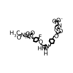 CC(=O)NC[C@H]1CN(c2ccc(OCC3=CN(Cc4ccc(CO[C@@H]5COc6nc([N+](=O)[O-])cn6C5)cc4)NN3)c(F)c2)C(=O)O1